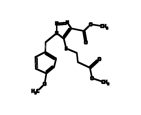 COC(=O)CCSc1c(C(=O)OC)nnn1Cc1ccc(OC)cc1